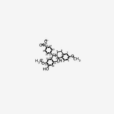 COc1ccc2c(c1)CCN1C(c3ccc([N+](=O)[O-])cc3)c3cc(OC)c(O)cc3C[C@@H]21